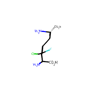 NC(C(=O)O)C(F)(Cl)CC[C@H](N)C(=O)O